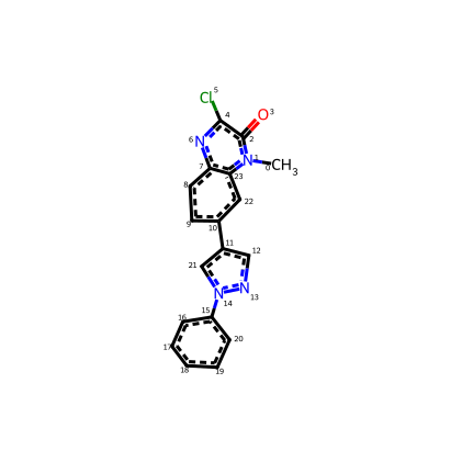 Cn1c(=O)c(Cl)nc2ccc(-c3cnn(-c4ccccc4)c3)cc21